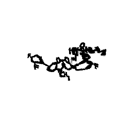 C[C@@H](c1ccc(-c2ccc(F)cc2F)cc1)N1CC[C@](CCNS(N)(=O)=O)(c2ccc(F)cc2)OC1=O